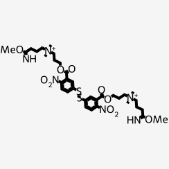 COC(=N)CCC[N+](C)(C)CCCOC(=O)c1cc(SSc2ccc([N+](=O)[O-])c(C(=O)OCCC[N+](C)(C)CCCC(=N)OC)c2)ccc1[N+](=O)[O-]